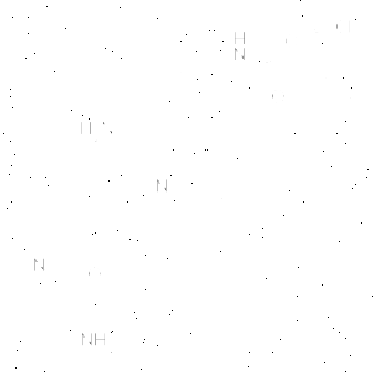 C[C@@H](OC(=O)Nc1ccc(-c2c(N)c3ccc(Oc4ncccc4N)cc3n2C2CC2)cc1)C1CC1